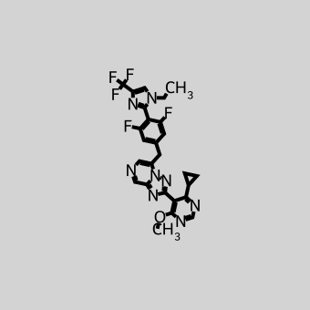 CCn1cc(C(F)(F)F)nc1-c1c(F)cc(Cc2cncc3nc(-c4c(OC)ncnc4C4CC4)nn23)cc1F